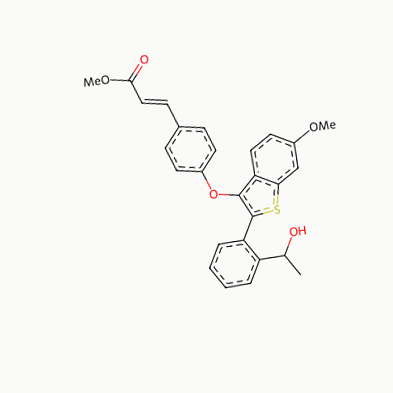 COC(=O)C=Cc1ccc(Oc2c(-c3ccccc3C(C)O)sc3cc(OC)ccc23)cc1